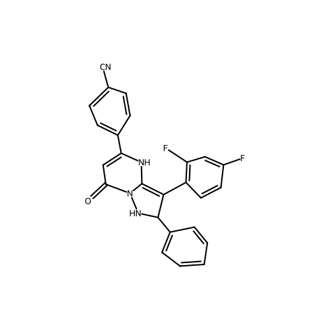 N#Cc1ccc(C2=CC(=O)N3NC(c4ccccc4)C(c4ccc(F)cc4F)=C3N2)cc1